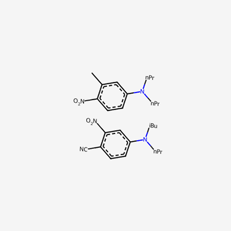 CCCN(CCC)c1ccc([N+](=O)[O-])c(C)c1.CCCN(c1ccc(C#N)c([N+](=O)[O-])c1)C(C)CC